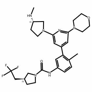 CN[C@H]1CCN(c2cc(-c3cc(NC(=O)N4CC[C@@H](CC(F)(F)F)C4)ccc3C)cc(N3CCOCC3)n2)C1